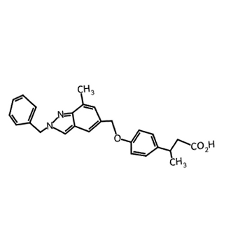 Cc1cc(COc2ccc(C(C)CC(=O)O)cc2)cc2cn(Cc3ccccc3)nc12